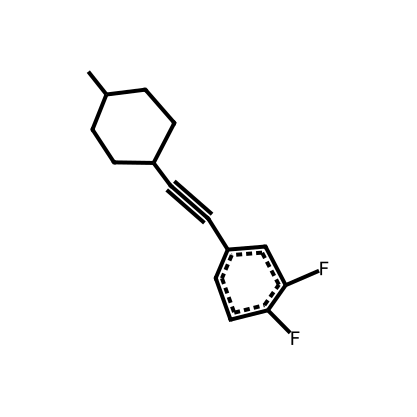 CC1CCC(C#Cc2ccc(F)c(F)c2)CC1